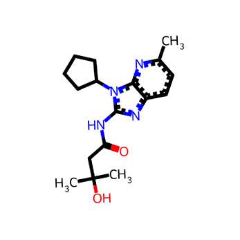 Cc1ccc2nc(NC(=O)CC(C)(C)O)n(C3CCCC3)c2n1